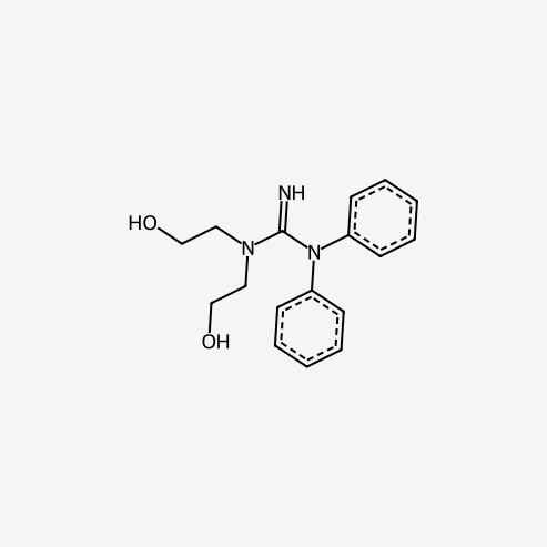 N=C(N(CCO)CCO)N(c1ccccc1)c1ccccc1